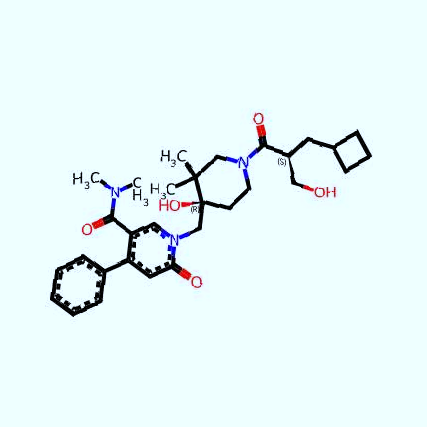 CN(C)C(=O)c1cn(C[C@@]2(O)CCN(C(=O)[C@H](CO)CC3CCC3)CC2(C)C)c(=O)cc1-c1ccccc1